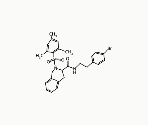 Cc1cc(C)c(S(=O)(=O)N2Cc3ccccc3CC2C(=O)NCCc2ccc(Br)cc2)c(C)c1